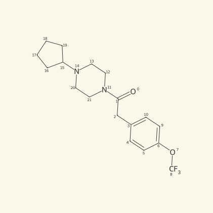 O=C(Cc1ccc(OC(F)(F)F)cc1)N1CCN(C2CCCC2)CC1